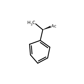 CC(=O)[C@H](C)c1ccccc1